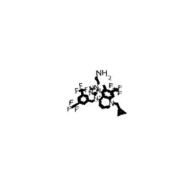 Cc1cc2c(cc1C(F)(F)F)N(CC1CC1)CCC[C@@H]2[N+](Cc1cc(C(F)(F)F)cc(C(F)(F)F)c1)c1nnn(CCN)n1